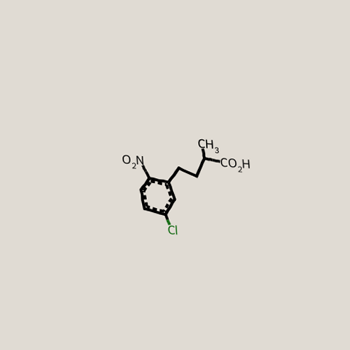 CC(CCc1cc(Cl)ccc1[N+](=O)[O-])C(=O)O